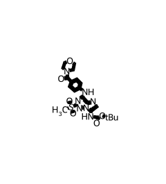 CC(C)(C)OC(=O)Nc1cnc2c(Nc3ccc(C(=O)N4CCOCC4)cc3)nc(S(C)(=O)=O)nn12